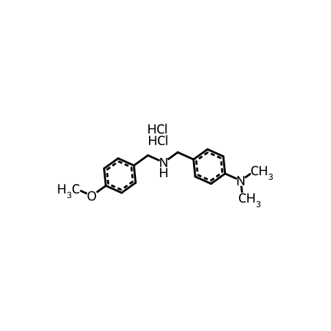 COc1ccc(CNCc2ccc(N(C)C)cc2)cc1.Cl.Cl